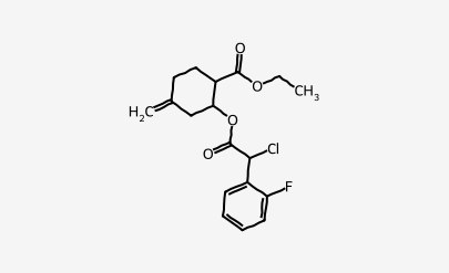 C=C1CCC(C(=O)OCC)C(OC(=O)C(Cl)c2ccccc2F)C1